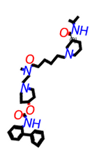 CC(C)NC(=O)[C@@H]1CCCN(CCCCCC(=O)N(C)CCN2CCC(OC(=O)Nc3ccccc3-c3ccccc3)CC2)C1